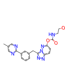 Cc1cnc(-c2cccc(Cc3nnc4ccc(OC(=O)NCCO)nn34)c2)nc1